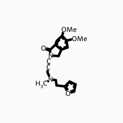 COc1cc2c(cc1OC)C(=O)N(CCCN(C)CCc1ccco1)C2